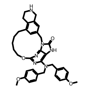 COc1ccc(CN(Cc2ccc(OC)cc2)c2nc3nc4c2[nH]c(=O)n4Cc2cc(c4c(c2)CNCC4)CCCCCO3)cc1